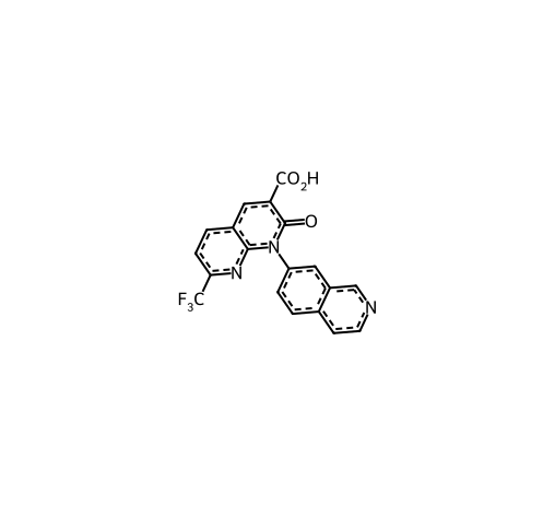 O=C(O)c1cc2ccc(C(F)(F)F)nc2n(-c2ccc3ccncc3c2)c1=O